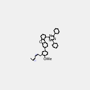 C/C=C\C=C/Cc1cc(-c2ccc3c(c2)oc2cccc(-c4nc(-c5ccccc5)nc(-c5ccccc5)n4)c23)ccc1OC